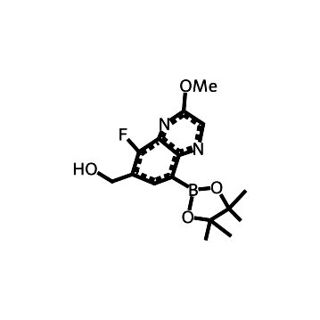 COc1cnc2c(B3OC(C)(C)C(C)(C)O3)cc(CO)c(F)c2n1